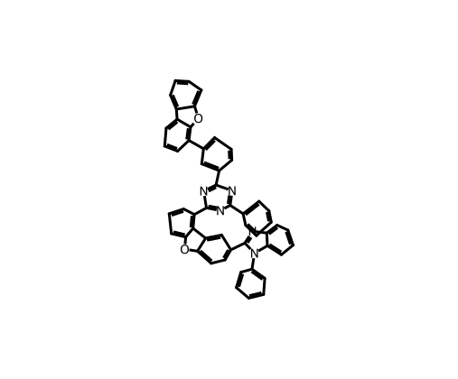 c1ccc(-c2nc(-c3cccc(-c4cccc5c4oc4ccccc45)c3)nc(-c3cccc4oc5ccc(-c6nc7ccccc7n6-c6ccccc6)cc5c34)n2)cc1